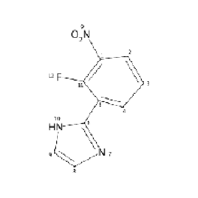 O=[N+]([O-])c1cccc(-c2ncc[nH]2)c1F